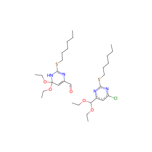 CCCCCCSC1=NC(C=O)=CC(OCC)(OCC)N1.CCCCCCSc1nc(Cl)cc(C(OCC)OCC)n1